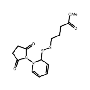 COC(=O)CCCSSC1C=CC=CN1N1C(=O)CCC1=O